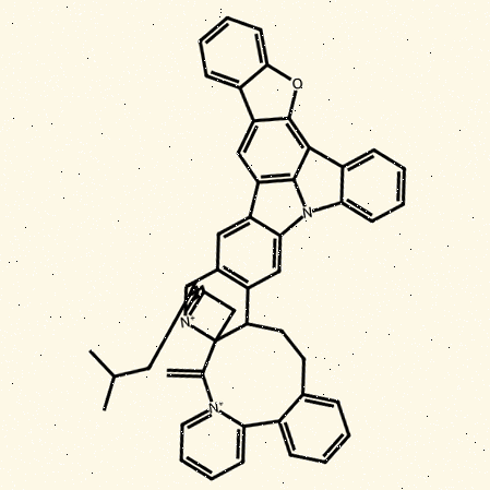 C=C1[n+]2ccccc2-c2ccccc2CCC2c3cc4c(cc3-c3cc(CC(C)C)cc5[n+]3C12C5)c1cc2c3ccccc3oc2c2c3ccccc3n4c12